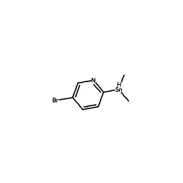 [CH3][SnH]([CH3])[c]1ccc(Br)cn1